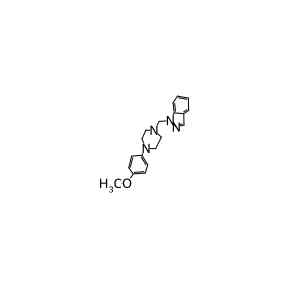 COc1ccc(N2CCN(Cn3ncc4ccccc43)CC2)cc1